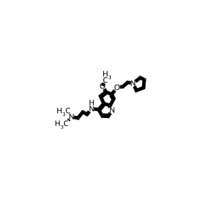 COc1cc2c(NCCCN(C)C)ccnc2cc1OCCN1CCCC1